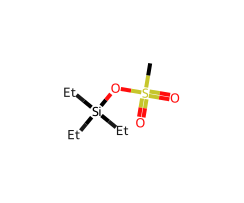 CC[Si](CC)(CC)OS(C)(=O)=O